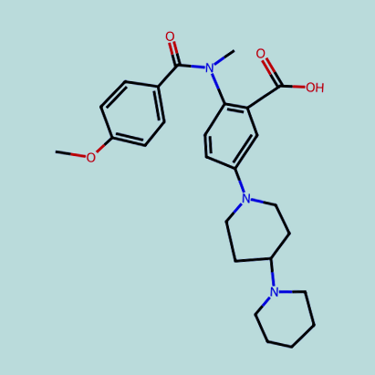 COc1ccc(C(=O)N(C)c2ccc(N3CCC(N4CCCCC4)CC3)cc2C(=O)O)cc1